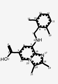 C=C(O)c1cc(NCc2c(C)cccc2C)c2nc(C)c(C)n2c1